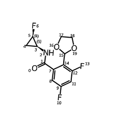 O=C(N[C@H]1C[C@H]1F)c1cc(F)cc(F)c1C1OCCO1